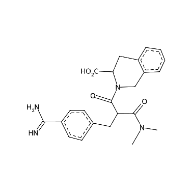 CN(C)C(=O)C(Cc1ccc(C(=N)N)cc1)C(=O)N1Cc2ccccc2CC1C(=O)O